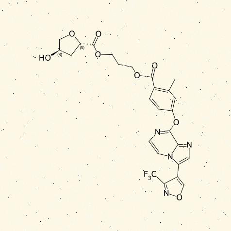 Cc1cc(Oc2nccn3c(-c4conc4C(F)(F)F)cnc23)ccc1C(=O)OCCCOC(=O)[C@@H]1C[C@@H](O)CO1